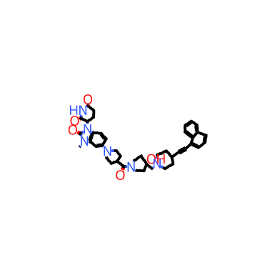 Cn1c(=O)n(C2CCC(=O)NC2=O)c2ccc(N3CCC(C(=O)N4CCC(O)(CN5CCC(C#Cc6cccc7ccccc67)CC5)CC4)CC3)cc21